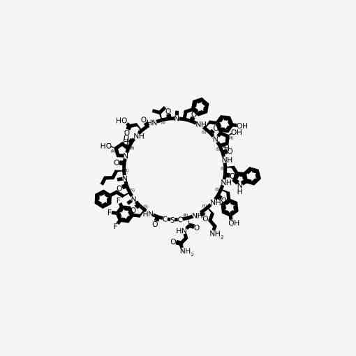 CCCC[C@H]1C(=O)N2C[C@H](O)C[C@@H]2C(=O)N[C@@H](CC(=O)O)C(=O)N[C@@H](C(C)C)C(=O)N(C)C(Cc2ccccc2)C(=O)N[C@@H](Cc2ccc(O)cc2)C(=O)N2C[C@H](O)C[C@H]2C(=O)N[C@@H](Cc2c[nH]c3ccccc23)C(=O)N[C@@H](Cc2ccc(O)cc2)C(=O)N[C@@H](CCCN)C(=O)N[C@H](C(=O)NCC(N)=O)CSCC(=O)N[C@@H](Cc2cc(F)c(F)c(F)c2)C(=O)N(C)[C@@H](CCc2ccccc2)C(=O)N1C